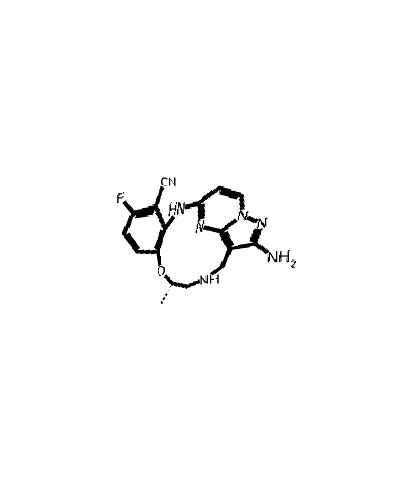 C[C@H]1CNCc2c(N)nn3ccc(nc23)Nc2c(ccc(F)c2C#N)O1